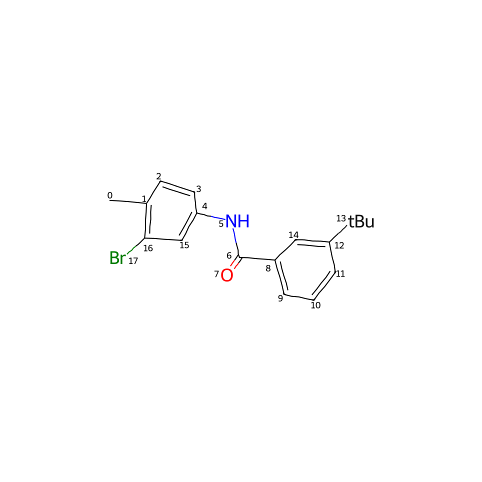 Cc1ccc(NC(=O)c2cccc(C(C)(C)C)c2)cc1Br